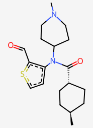 CN1CCC(N(c2ccsc2C=O)C(=O)[C@H]2CC[C@H](C)CC2)CC1